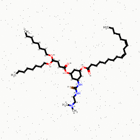 CCCCC/C=C\C/C=C\CCCCCCCC(=O)OC1CC(NC(=S)NCCN(C)C)CC(OC(=O)CCC(OCCCCCCCC)OCCCCCCCC)C1